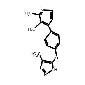 Cc1nccc(-c2ccc(Oc3[nH]nnc3C(=O)O)cc2)c1C